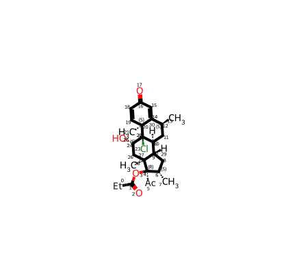 CCC(=O)O[C@]1(C(C)=O)[C@@H](C)C[C@H]2[C@@H]3C[C@H](C)C4=CC(=O)C=C[C@]4(C)[C@@]3(Cl)[C@@H](O)C[C@@]21C